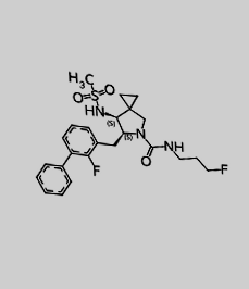 CS(=O)(=O)N[C@@H]1[C@H](Cc2cccc(-c3ccccc3)c2F)N(C(=O)NCCCF)CC12CC2